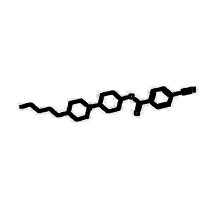 CCCCCC1CCN(C2CCC(OC(=O)c3ccc(C#N)cc3)CC2)CC1